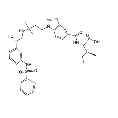 CC[C@H](C)[C@H](NC(=O)c1ccc2c(ccn2CCC(C)(C)NC[C@@H](O)c2cccc(NS(=O)(=O)c3ccccc3)c2)c1)C(=O)O